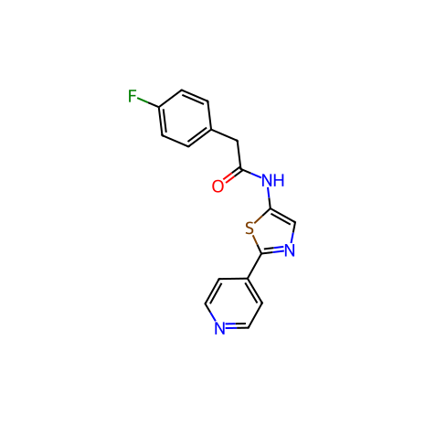 O=C(Cc1ccc(F)cc1)Nc1cnc(-c2ccncc2)s1